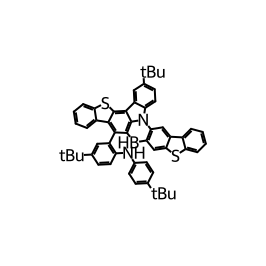 CC(C)(C)c1ccc(Nc2ccc(C(C)(C)C)cc2-c2c3c4c(c5cc(C(C)(C)C)ccc5n4-c4cc5c(cc4B3)sc3ccccc35)c3sc4ccccc4c23)cc1